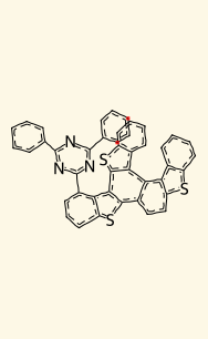 c1ccc(-c2nc(-c3ccccc3)nc(-c3cccc4sc5c6ccc7sc8ccccc8c7c6c6c7ccccc7sc6c5c34)n2)cc1